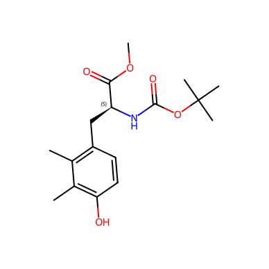 COC(=O)[C@H](Cc1ccc(O)c(C)c1C)NC(=O)OC(C)(C)C